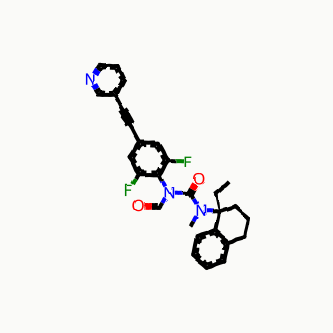 CC[C@@]1(N(C)C(=O)N(C=O)c2c(F)cc(C#Cc3cccnc3)cc2F)CCCc2ccccc21